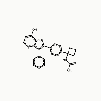 CC(=O)NC1(c2ccc(-c3nc4c(O)ccnn4c3-c3ccccc3)cc2)CCC1